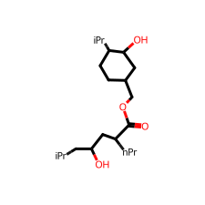 CCCC(CC(O)CC(C)C)C(=O)OCC1CCC(C(C)C)C(O)C1